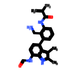 C=C(C)C(=O)Nc1cccc(-c2ccc(NC=O)c3[nH]c(C)c(C)c23)c1CN